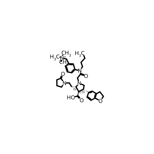 CCCCN(C(=O)CN1C[C@H](c2ccc3c(c2)CCO3)[C@@H](C(=O)O)[C@@H]1CCN1CCCC1=O)c1cccc(C[N+](C)(C)C)c1